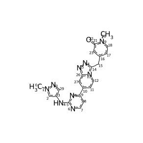 Cn1cc(Nc2nccc(-c3ccn4c(Cc5ccn(C)c(=O)c5)nnc4c3)n2)cn1